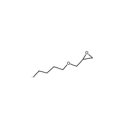 [CH2]CCCCOCC1CO1